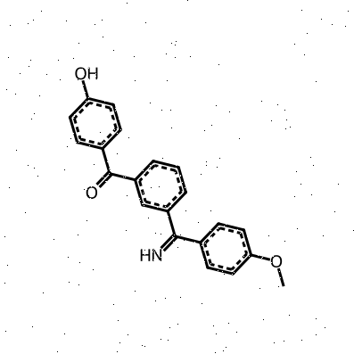 COc1ccc(C(=N)c2cccc(C(=O)c3ccc(O)cc3)c2)cc1